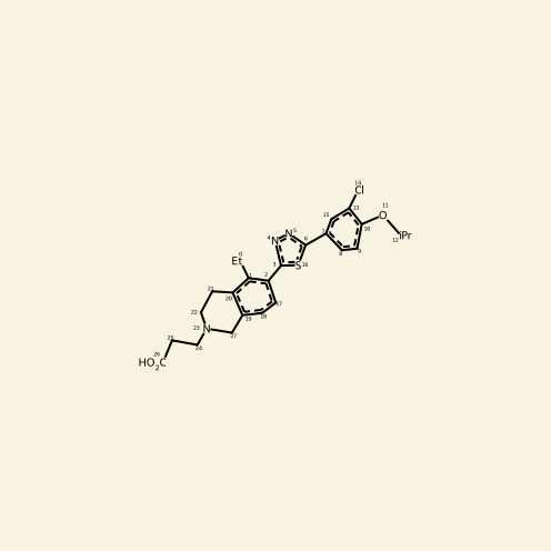 CCc1c(-c2nnc(-c3ccc(OC(C)C)c(Cl)c3)s2)ccc2c1CCN(CCC(=O)O)C2